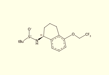 CC(C)(C)[S+]([O-])N[C@H]1CCCc2c(OCC(F)(F)F)cccc21